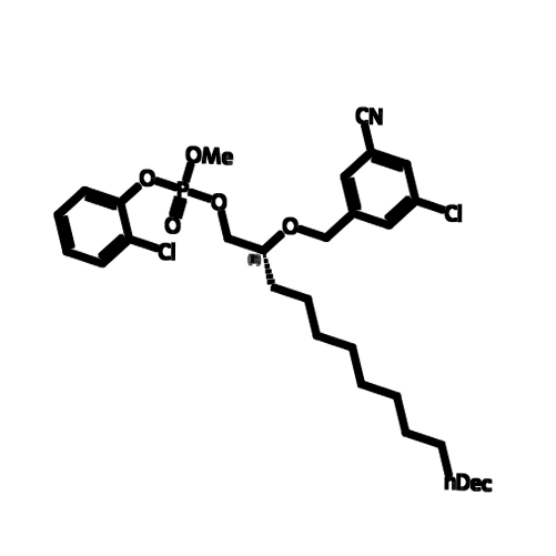 CCCCCCCCCCCCCCCCCC[C@H](COP(=O)(OC)Oc1ccccc1Cl)OCc1cc(Cl)cc(C#N)c1